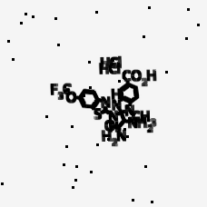 CN1c2ccc(C(=O)O)cc2NC1(Nc1nc2ccc(OC(F)(F)F)cc2s1)C(N)C(N)=O.Cl.Cl